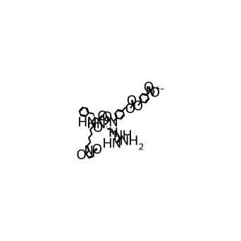 N=C(N)NCCC[C@H](NC(=O)[C@H](Cc1ccccc1)NC(=O)CCCCCN1C(=O)C=CC1=O)C(=O)Nc1ccc(COC(=O)Oc2ccc([N+](=O)[O-])cc2)cc1